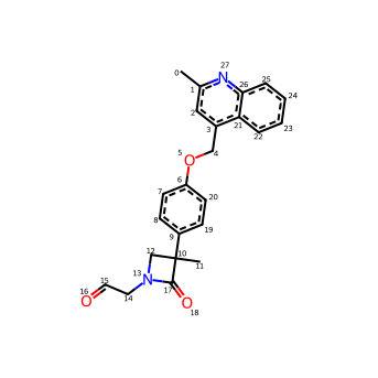 Cc1cc(COc2ccc(C3(C)CN(CC=O)C3=O)cc2)c2ccccc2n1